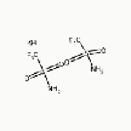 NS(=O)(=O)C(F)(F)F.NS(=O)(=O)C(F)(F)F.[KH]